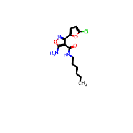 CCCCCCNC(=O)c1c(-c2ccc(Cl)o2)noc1N